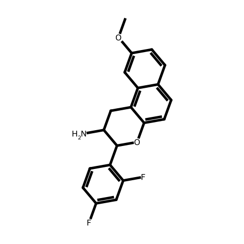 COc1ccc2ccc3c(c2c1)CC(N)C(c1ccc(F)cc1F)O3